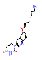 NCCCOCCCOc1ccc2ncc(-n3ccc(=O)[nH]c3=O)cc2c1